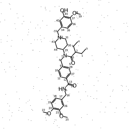 CCC(CC)C(=O)N(Cc1ccc(C(=O)NCc2ccc(OC)c(OC)c2)cc1)C1CCN(Cc2ccc(OC)c(O)c2)CC1